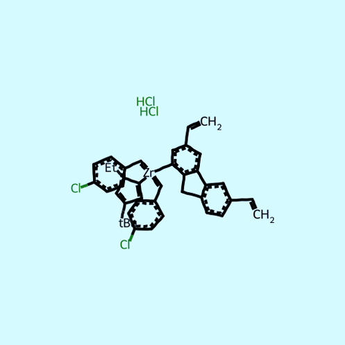 C=Cc1ccc2c(c1)-c1cc(C=C)c[c]([Zr](=[CH]c3ccc(Cl)cc3)(=[CH]c3ccc(Cl)cc3)[C]3=CC(C(C)(C)C)=CC3CC)c1C2.Cl.Cl